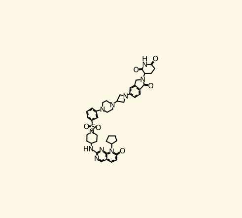 O=C1CCC(N2Cc3cc(N4CC(N5CCN(c6cccc(S(=O)(=O)N7CCC(Nc8ncc9ccc(=O)n(C%10CCCC%10)c9n8)CC7)c6)CC5)C4)ccc3C2=O)C(=O)N1